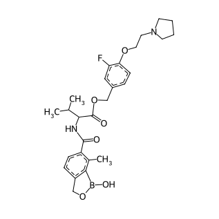 Cc1c(C(=O)NC(C(=O)OCc2ccc(OCCN3CCCC3)c(F)c2)C(C)C)ccc2c1B(O)OC2